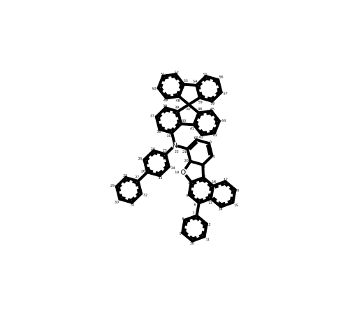 C1=CC2c3c(cc(-c4ccccc4)c4ccccc34)OC2C(N(c2ccc(-c3ccccc3)cc2)c2cccc3c2-c2ccccc2C32c3ccccc3-c3ccccc32)=C1